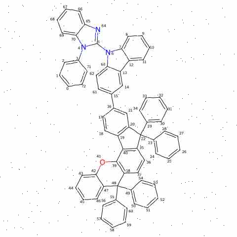 c1ccc(-n2c(-n3c4ccccc4c4cc(-c5ccc6c(c5)C(c5ccccc5)(c5ccccc5)c5ccc7c(c5-6)Oc5ccccc5C7(c5ccccc5)c5ccccc5)ccc43)nc3ccccc32)cc1